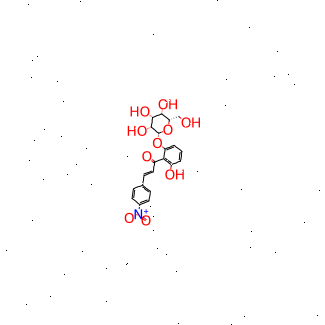 O=C(/C=C/c1ccc([N+](=O)[O-])cc1)c1c(O)cccc1O[C@H]1O[C@@H](CO)[C@@H](O)[C@@H](O)[C@H]1O